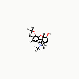 [2H]OC1C=C[C@@]2([2H])[C@@H]3N(C([2H])([2H])[2H])CC[C@@]24c2c(c(OC([2H])([2H])[2H])c([2H])c([2H])c2C3([2H])[2H])OC14[2H]